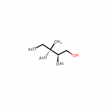 CC(=O)OC[C@](C)(OC(C)=O)[C@@H](CO)OC(C)=O